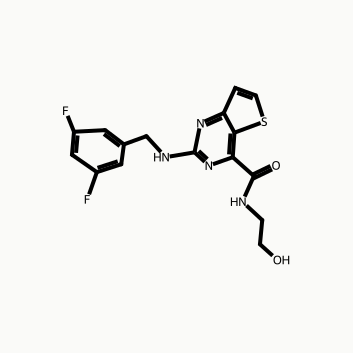 O=C(NCCO)c1nc(NCc2cc(F)cc(F)c2)nc2ccsc12